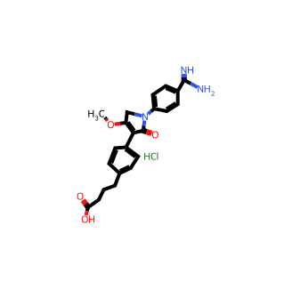 COC1=C(c2ccc(CCCC(=O)O)cc2)C(=O)N(c2ccc(C(=N)N)cc2)C1.Cl